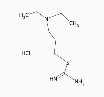 CCN(CC)CCCSC(=N)N.Cl